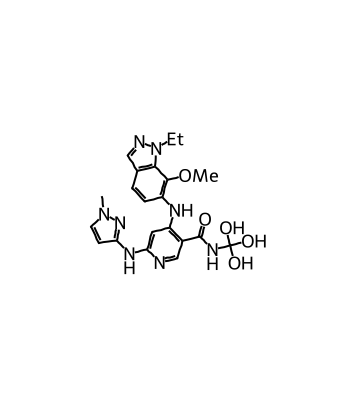 CCn1ncc2ccc(Nc3cc(Nc4ccn(C)n4)ncc3C(=O)NC(O)(O)O)c(OC)c21